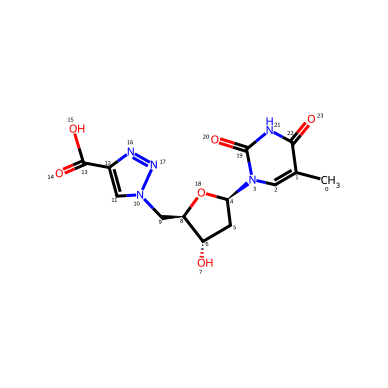 Cc1cn([C@H]2C[C@H](O)[C@@H](Cn3cc(C(=O)O)nn3)O2)c(=O)[nH]c1=O